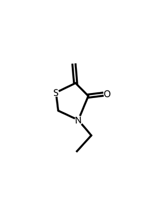 C=C1SCN(CC)C1=O